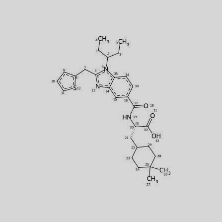 CCC(CC)n1c(Cc2cccs2)nc2cc(C(=O)N[C@@H](CC3CCC(C)(C)CC3)C(=O)O)ccc21